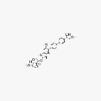 OCC(O)c1ccc(-c2ccc(-c3nc4nc(O[C@@H]5CO[C@H]6[C@@H]5OC[C@H]6O)[nH]c4cc3Cl)cc2)cc1